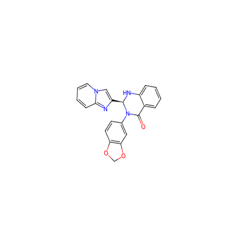 O=C1c2ccccc2N[C@H](c2cn3ccccc3n2)N1c1ccc2c(c1)OCO2